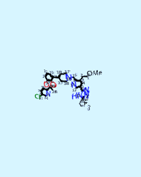 COCCc1cc(-c2nnc(C(F)(F)F)[nH]2)cnc1CN1CCC(c2cccc3c2OC(C)(c2ccc(Cl)cn2)O3)CC1